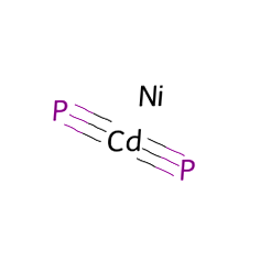 [Ni].[P]#[Cd]#[P]